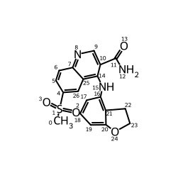 CS(=O)(=O)c1ccc2ncc(C(N)=O)c(Nc3cccc4c3CCO4)c2c1